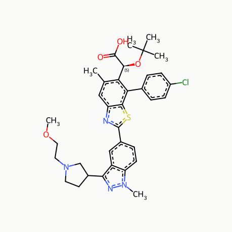 COCCN1CCC(c2nn(C)c3ccc(-c4nc5cc(C)c([C@H](OC(C)(C)C)C(=O)O)c(-c6ccc(Cl)cc6)c5s4)cc23)C1